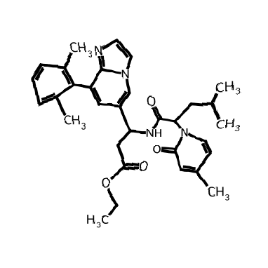 CCOC(=O)CC(NC(=O)C(CC(C)C)n1ccc(C)cc1=O)c1cc(-c2c(C)cccc2C)c2nccn2c1